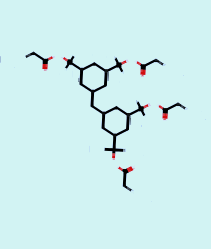 CC(C)(OC(=O)CC(=O)O)C1CC(CC2CC(C(C)(C)OC(=O)CC(=O)O)CC(C(C)(C)OC(=O)CC(=O)O)C2)CC(C(C)(C)OC(=O)CC(=O)O)C1